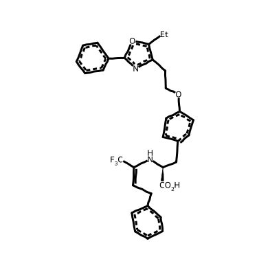 CCc1oc(-c2ccccc2)nc1CCOc1ccc(C[C@H](N/C(=C\Cc2ccccc2)C(F)(F)F)C(=O)O)cc1